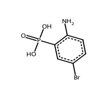 Nc1ccc(Br)cc1P(=O)(O)O